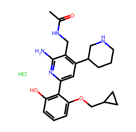 CC(=O)NCc1c(C2CCCNC2)cc(-c2c(O)cccc2OCC2CC2)nc1N.Cl